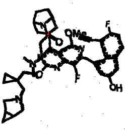 C#Cc1c(F)ccc2cc(O)cc(-c3nc(OC)c4c(N5CC6CCC(C5)N6C(=O)CCN(C)C)nc(OCC5(CN6CC7CC7C6)CC5)nc4c3F)c12